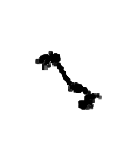 Nc1nnc(-c2ccccc2O)cc1OCCc1ccc(C(=O)NCCCCCCCCNc2cccc3c2CN(C2CCC(=O)NC2=O)C3=O)cc1